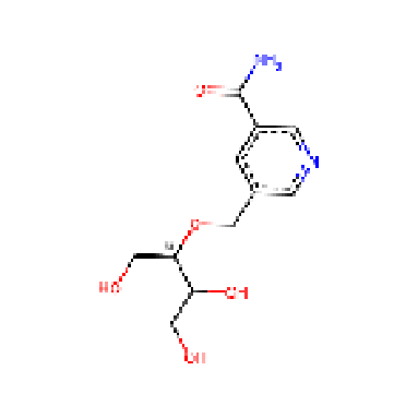 NC(=O)c1cncc(CO[C@H](CO)C(O)CO)c1